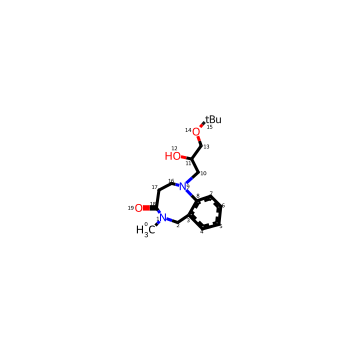 CN1Cc2ccccc2N(CC(O)COC(C)(C)C)CCC1=O